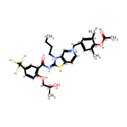 CCCCn1c(=NC(=O)c2cc(C(F)(F)F)ccc2OC[C@H](C)O)sc2cc[n+](Cc3cc(C)c(OC(C)=O)c(C)c3)cc21